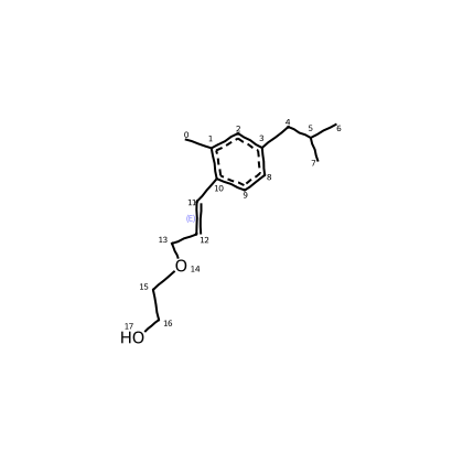 Cc1cc(CC(C)C)ccc1/C=C/COCCO